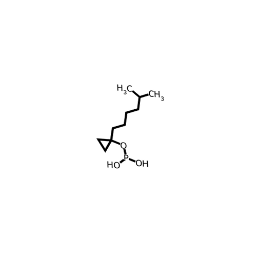 CC(C)CCCCC1(OP(O)O)CC1